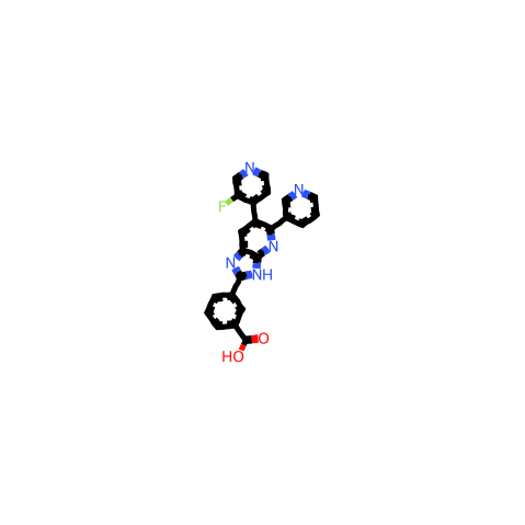 O=C(O)c1cccc(-c2nc3cc(-c4ccncc4F)c(-c4cccnc4)nc3[nH]2)c1